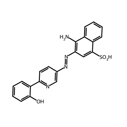 Nc1c(/N=N/c2ccc(-c3ccccc3O)nc2)cc(S(=O)(=O)O)c2ccccc12